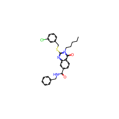 CCCCCn1c(SCc2cccc(Cl)c2)nc2cc(C(=O)NCc3ccccc3)ccc2c1=O